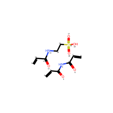 C=CC(=O)NC(=O)C=C.C=CC(=O)NCCS(=O)(=O)O